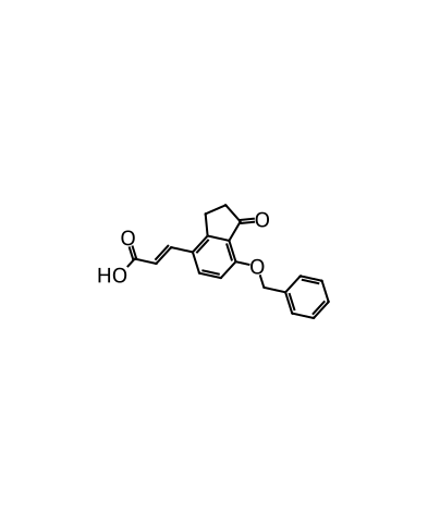 O=C(O)C=Cc1ccc(OCc2ccccc2)c2c1CCC2=O